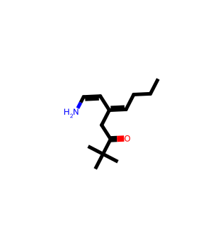 CCC/C=C(\C=C/N)CC(=O)C(C)(C)C